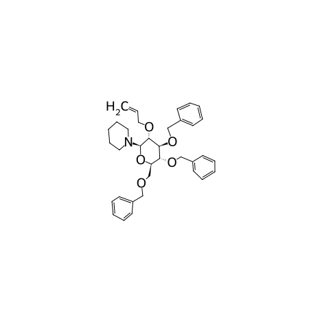 C=CCO[C@@H]1[C@@H](OCc2ccccc2)[C@H](OCc2ccccc2)[C@@H](COCc2ccccc2)O[C@H]1N1CCCCC1